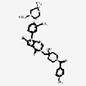 Cc1cc(-n2c(Cl)cc3c(=O)n(CC4(O)CCN(C(=O)c5ccc(C(F)(F)F)cc5)CC4)cnc32)ccc1[C@H]1CO[C@H](C)CN1C(=O)O